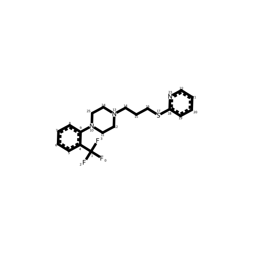 FC(F)(F)c1ccccc1N1CCN(CCCSc2ccccn2)CC1